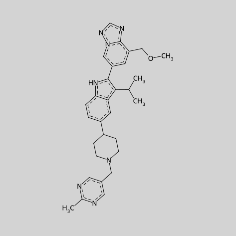 COCc1cc(-c2[nH]c3ccc(C4CCN(Cc5cnc(C)nc5)CC4)cc3c2C(C)C)cn2ncnc12